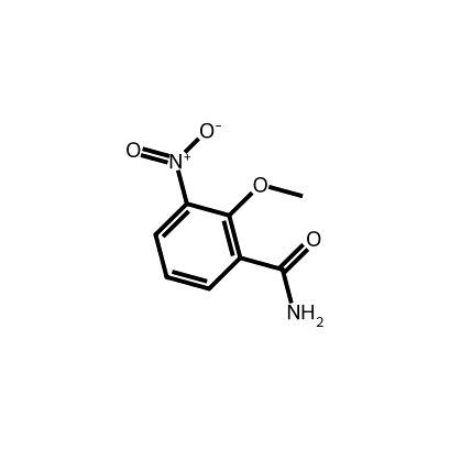 COc1c(C(N)=O)cccc1[N+](=O)[O-]